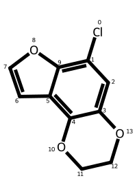 Clc1cc2c(c3ccoc13)OCCO2